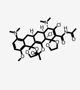 COc1ccc(N(C)C)c2c1C1(OCCO1)C1=C(OC(C)=O)[C@@]3(Cl)[C@@H](C[C@@H]1C2)[C@H](N(C)C)C(Cl)=C(C(=O)NC(C)=O)C31OCCO1